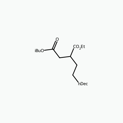 CCCCCCCCCCCCC(CC(=O)OCC(C)C)C(=O)OCC